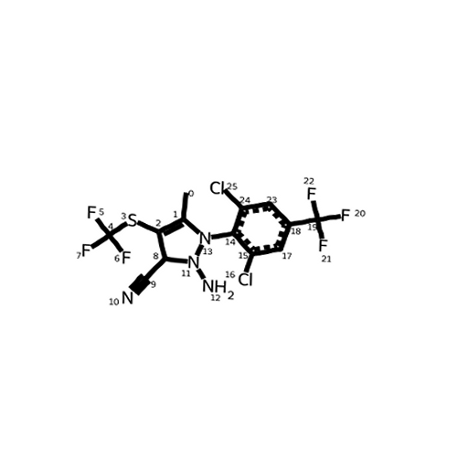 CC1=C(SC(F)(F)F)C(C#N)N(N)N1c1c(Cl)cc(C(F)(F)F)cc1Cl